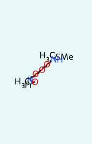 CSC(C)NCCOCCOCCOCCN(C)C(=O)C(C)C